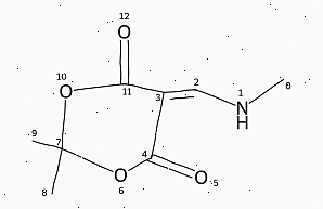 CNC=C1C(=O)OC(C)(C)OC1=O